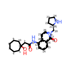 O=C(CC1(O)CCCCCC1)Nc1cccc2c(=O)n(C[C@H]3CCCN3)ccc12